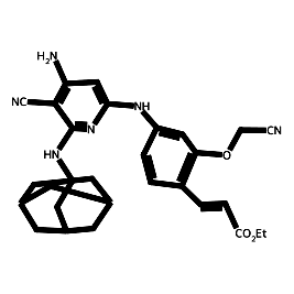 CCOC(=O)/C=C/c1ccc(Nc2cc(N)c(C#N)c(NC34CC5CC(CC(C5)C3)C4)n2)cc1OCC#N